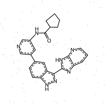 O=C(Nc1cncc(-c2ccc3[nH]nc(-c4nc5cccnc5[nH]4)c3c2)c1)C1CCCC1